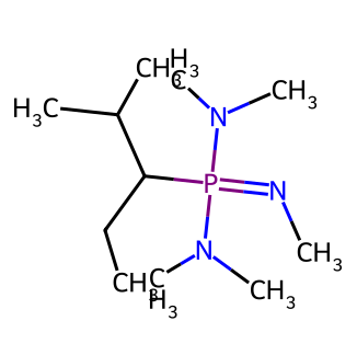 CCC(C(C)C)P(=NC)(N(C)C)N(C)C